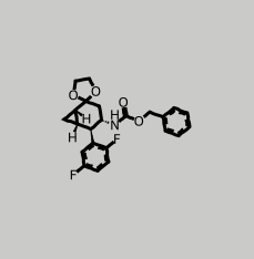 O=C(N[C@H]1CC2(OCCO2)[C@H]2C[C@H]2[C@@H]1c1cc(F)ccc1F)OCc1ccccc1